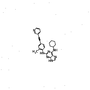 Cc1cc(C#Cc2cccnc2)ccc1Nc1nc(NC2CCCCC2)c2nc[nH]c2n1